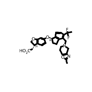 Cc1nc2c(o1)CCN(Cc1c(C(C)(F)F)ccc3c1CC[C@H]3Oc1ccc3c(c1)OC[C@H]3CC(=O)O)C2